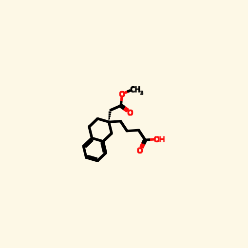 COC(=O)C[C@@]1(CCCC(=O)O)CCc2ccccc2C1